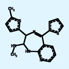 CNC1Nc2ncccc2C(c2cccs2)=NC1c1ccc(C)s1